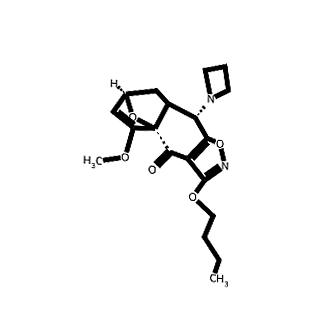 CCCCOc1noc2c1C(=O)[C@@]13O[C@@H](C=C1OC)CC3[C@@H]2N1CCC1